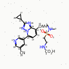 CN(C)S(=O)(=O)CCNC(=O)O.COc1ccc(-c2cncc(C#N)c2)n2nc(C3CC3)nc12